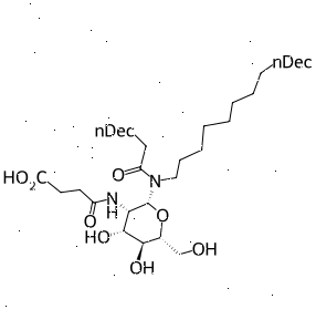 CCCCCCCCCCCCCCCCCCN(C(=O)CCCCCCCCCCC)[C@@H]1O[C@H](CO)[C@@H](O)[C@H](O)[C@@H]1NC(=O)CCC(=O)O